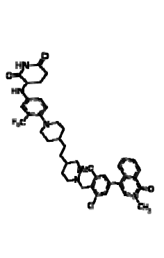 COc1cc(-c2cn(C)c(=O)c3ccccc23)cc(Cl)c1CN1CCC(CCC2CCN(c3ccc(NC4CCC(=O)NC4=O)cc3C(F)(F)F)CC2)CC1